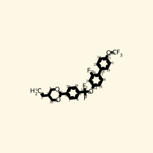 C=CC1COC(c2ccc(C(F)(F)Oc3ccc(-c4ccc(OC(F)(F)F)cc4)c(F)c3)cc2)OC1